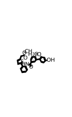 COC(=O)Cc1ccc(-c2ccccc2NC(=O)c2cccc(-c3ccc(O)cc3OC)c2)s1